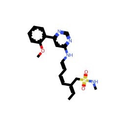 C\C=C(/C=C\C=C\Nc1cc(-c2ccccc2OC)ncn1)CS(=O)(=O)NC